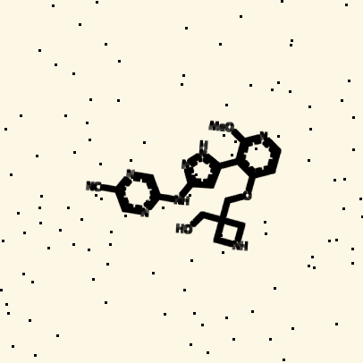 COc1nccc(OCC2(CO)CNC2)c1-c1cc(Nc2cnc(C#N)cn2)n[nH]1